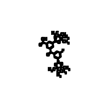 CC1(C)OB(c2cc(F)cc(C(=O)c3cc(B4OC(C)(C)C(C)(C)O4)cc(C(=O)O)c3)c2)OC1(C)C